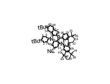 Cc1cc(C(C)(C)C)ccc1N1c2cc(C#N)cc3c2B(c2ccc4c5c2N3c2cc3c(cc2C5(C)CCC4(C)C)C(C)(C)CCC3(C)C)c2sc3ccc(C(C)(C)C)cc3c21